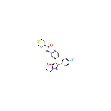 O=C(Nc1cc(-c2c(-c3ccc(F)cc3)nn3c2OCCC3)ccn1)C1CCSCC1